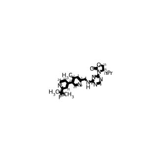 Cc1cc(CNc2ncnc(N3C(=O)OC[C@@H]3C(C)C)n2)ncc1-c1ccnc(C(C)(C)F)c1